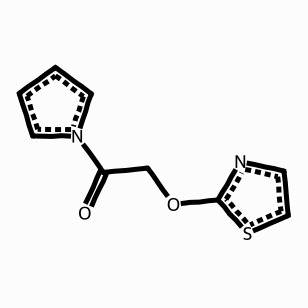 O=C(COc1nccs1)n1cccc1